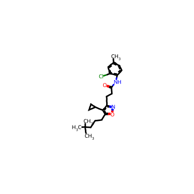 Cc1ccc(NC(=O)CCc2noc(CCCC(C)(C)C)c2C2CC2)c(Cl)c1